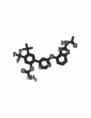 CC(=O)Nc1nc2c(Oc3cc(-c4cc(C(C)(C)C)c(C(F)(F)F)cc4OC(N)=O)ncn3)cccc2s1